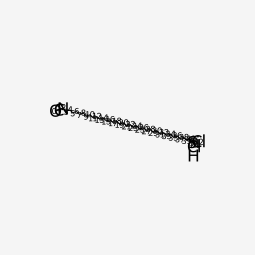 O=C=NCCCCCCCCCCCCCCCCCCCCCCCCCCCCCCCCCCCCCC[SiH](Cl)Cl